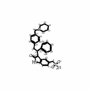 CCS(=O)(=O)Cc1ccc2c(c1)C(C(Cc1ccc(CN3CCCCC3)cc1)c1ccccc1)C(=O)N2